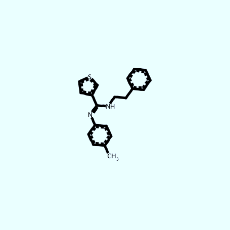 Cc1ccc(/N=C(\NCCc2ccccc2)c2ccsc2)cc1